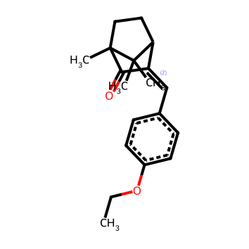 CCOc1ccc(/C=C2\C(=O)C3(C)CCC2C3(C)C)cc1